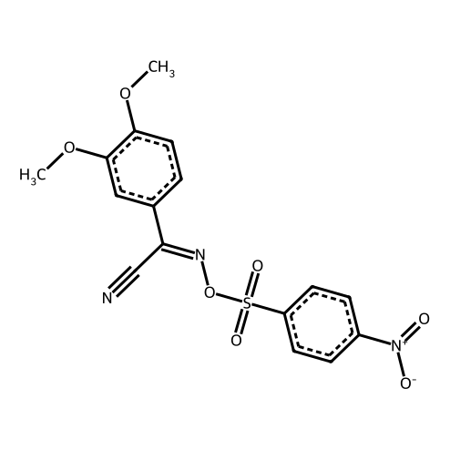 COc1ccc(C(C#N)=NOS(=O)(=O)c2ccc([N+](=O)[O-])cc2)cc1OC